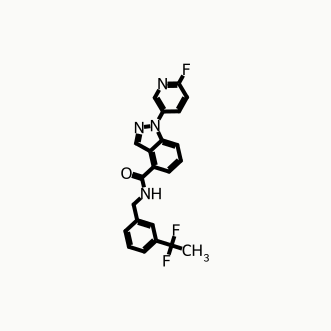 CC(F)(F)c1cccc(CNC(=O)c2cccc3c2cnn3-c2ccc(F)nc2)c1